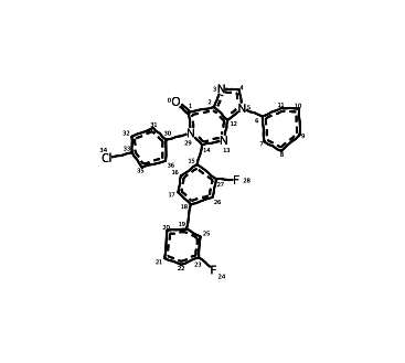 O=c1c2ncn(-c3ccccc3)c2nc(-c2ccc(-c3cccc(F)c3)cc2F)n1-c1ccc(Cl)cc1